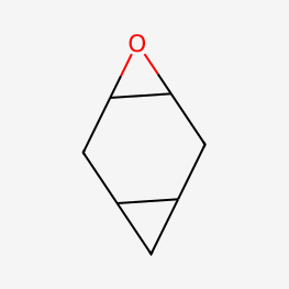 C1C2CC3OC3CC12